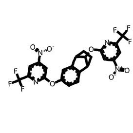 O=[N+]([O-])c1cc(Oc2ccc3c(c2)C2CCC3C2Oc2cc([N+](=O)[O-])cc(C(F)(F)F)n2)nc(C(F)(F)F)c1